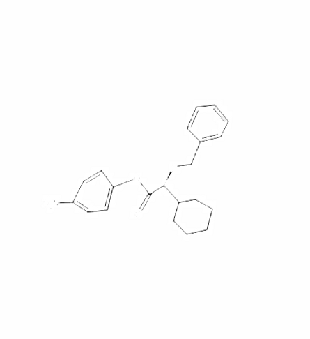 O=C(Oc1ccc([N+](=O)[O-])cc1)[C@@H](SCc1ccccc1)C1CCCCC1